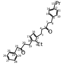 CCC1C(CCC(=O)CCc2ccc(C(C)C)cc2)=CC=C1CCC(=O)Cc1ccccc1